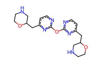 c1cc(CC2CNCCO2)nc(Oc2nccc(CC3CNCCO3)n2)n1